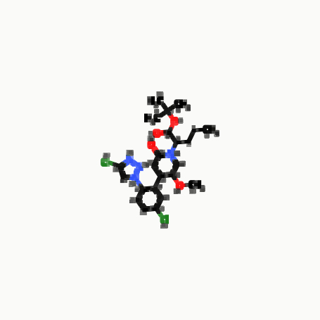 CCCC(C(=O)OC(C)(C)C)n1cc(OC)c(-c2cc(Cl)ccc2-n2cc(Cl)nn2)cc1=O